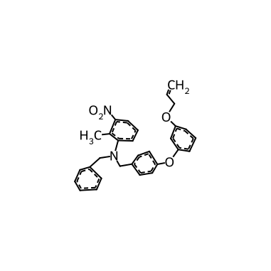 C=CCOc1cccc(Oc2ccc(CN(Cc3ccccc3)c3cccc([N+](=O)[O-])c3C)cc2)c1